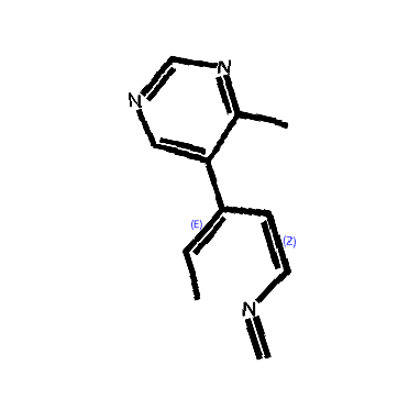 C=N/C=C\C(=C/C)c1cncnc1C